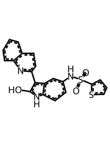 O=S(=O)(Nc1ccc2[nH]c(O)c(-c3ccc4ccccc4n3)c2c1)c1cccs1